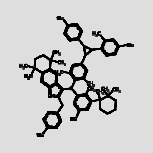 Cc1cc(C(C)(C)C)ccc1C1C(c2ccc(C(C)(C)C)cc2)C1c1cc(C)c(B(c2cc(C(C)(C)C)cc(C3(C)CCCCC3(C)C)c2C)c2c(Cc3ccc(C(C)(C)C)cc3)oc3cc4c(cc23)C(C)(C)CCC4(C)C)c(C)c1